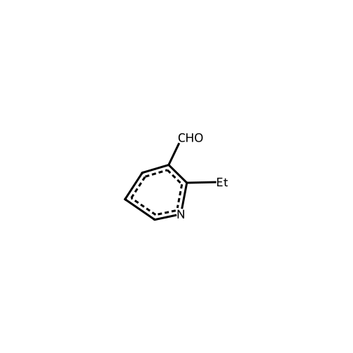 CCc1ncccc1C=O